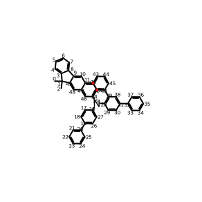 CC1(C)c2ccccc2-c2cc3ccc(N(c4ccc(-c5ccccc5)cc4)c4ccc(-c5ccccc5)cc4-c4ccccc4)cc3cc21